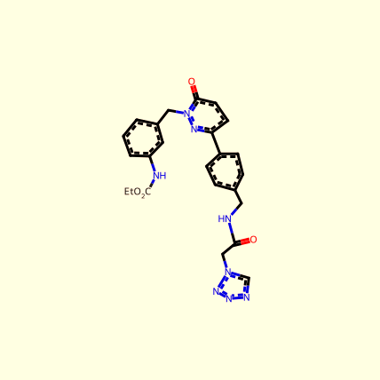 CCOC(=O)Nc1cccc(Cn2nc(-c3ccc(CNC(=O)Cn4cnnn4)cc3)ccc2=O)c1